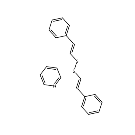 C(=C\c1ccccc1)/SS/C=C/c1ccccc1.c1ccncc1